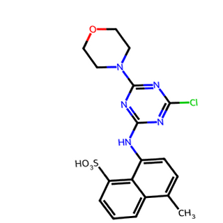 Cc1ccc(Nc2nc(Cl)nc(N3CCOCC3)n2)c2c(S(=O)(=O)O)cccc12